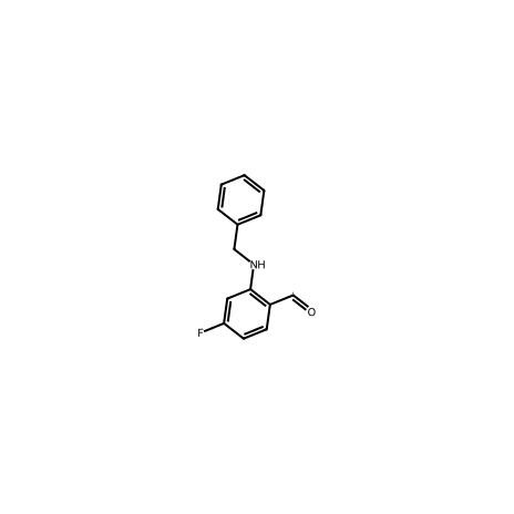 O=[C]c1ccc(F)cc1NCc1ccccc1